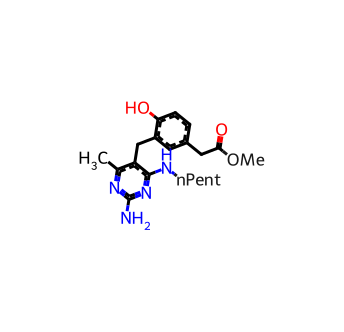 CCCCCNc1nc(N)nc(C)c1Cc1cc(CC(=O)OC)ccc1O